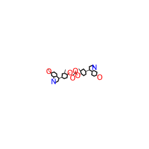 COc1ccc2c(-c3ccc(OC(=O)C(=O)Oc4ccc(-c5ccnc6cc(OC)ccc56)cc4C)c(C)c3)ccnc2c1